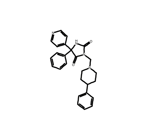 O=C1NC(c2ccccc2)(c2ccncc2)C(=O)N1CN1CCC(c2ccccc2)CC1